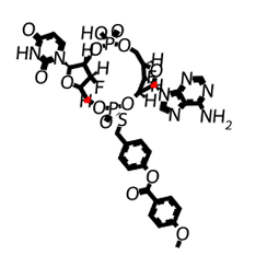 COc1ccc(C(=O)Oc2ccc(CSP3(=O)OC[C@H]4O[C@@H](n5ccc(=O)[nH]c5=O)[C@H](OP(=O)(O)OC[C@H]5O[C@@H](n6cnc7c(N)ncnc76)[C@H](O3)[C@@H]5F)[C@@H]4F)cc2)cc1